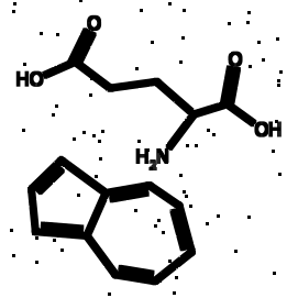 NC(CCC(=O)O)C(=O)O.c1ccc2cccc-2cc1